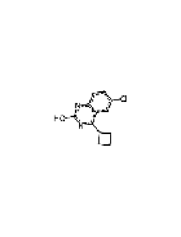 Oc1nc(C2CCC2)c2cc(Cl)ccc2n1